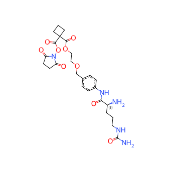 NC(=O)NCCC[C@H](N)C(=O)Nc1ccc(COCCOC(=O)C2(C(=O)ON3C(=O)CCC3=O)CCC2)cc1